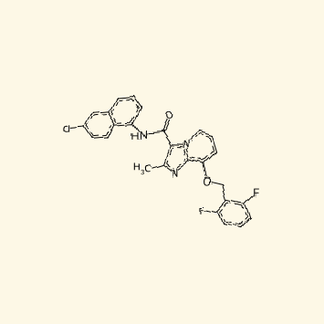 Cc1nc2c(OCc3c(F)cccc3F)cccn2c1C(=O)Nc1cccc2cc(Cl)ccc12